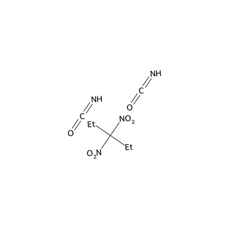 CCC(CC)([N+](=O)[O-])[N+](=O)[O-].N=C=O.N=C=O